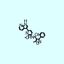 COc1nc(-c2c[nH]c3ncccc23)ccc1NC(O)c1c(-c2ccccc2)noc1C